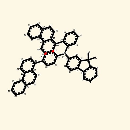 CC1(C)c2ccccc2-c2ccc(N(c3ccc(-c4cccc5c4ccc4ccccc45)cc3)c3ccccc3-c3cccc4c3ccc3ccccc34)cc21